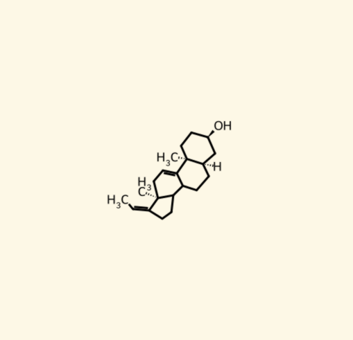 C/C=C1/CCC2C3CC[C@@H]4C[C@H](O)CC[C@]4(C)C3=CC[C@]12C